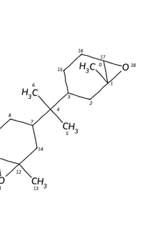 CC12CC(C(C)(C)C3CCC4OC4(C)C3)CCC1O2